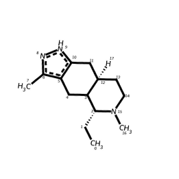 CC[C@@H]1C2Cc3c(C)n[nH]c3C[C@H]2CCN1C